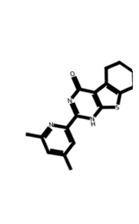 Cc1cc(C)nc(-c2nc(=O)c3c4c(sc3[nH]2)CCCC4)c1